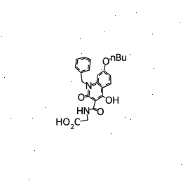 CCCCOc1ccc2c(O)c(C(=O)NCC(=O)O)c(=O)n(Cc3ccccc3)c2c1